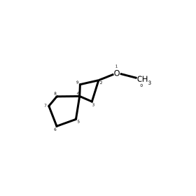 COC1CC2(CCCC2)C1